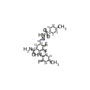 Cc1ccc(S(=O)(=O)N/N=C/c2cc(C(N)=O)c(Nc3ccc(C)cc3F)c(F)c2F)cc1